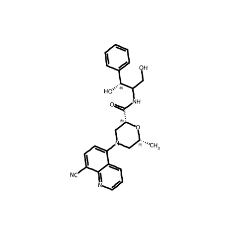 C[C@@H]1CN(c2ccc(C#N)c3ncccc23)C[C@H](C(=O)NC(CO)[C@H](O)c2ccccc2)O1